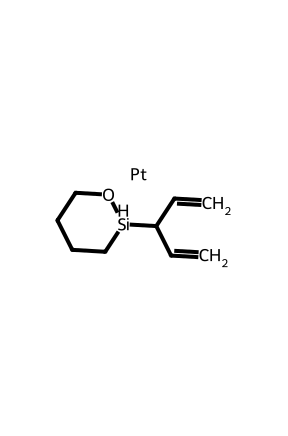 C=CC(C=C)[SiH]1CCCCO1.[Pt]